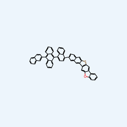 c1ccc2cc(-c3c4ccccc4c(-c4ccc(-c5ccc6cc7sc8cc9c(cc8c7cc6c5)oc5ccccc59)c5ccccc45)c4ccccc34)ccc2c1